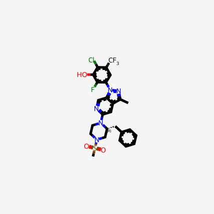 Cc1nn(-c2cc(C(F)(F)F)c(Cl)c(O)c2F)c2cnc(N3CCN(S(C)(=O)=O)C[C@H]3Cc3ccccc3)cc12